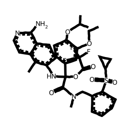 CCOc1cc(C(Nc2ccc3c(N)nccc3c2C)(OC(=O)C(F)(F)F)C(=O)N(C)Cc2ccccc2S(=O)(=O)C2CC2)ccc1OC(C)C